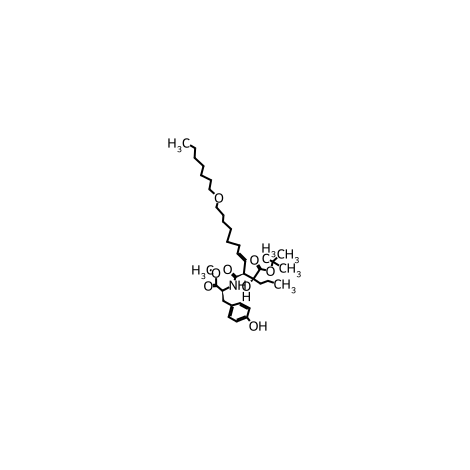 CCCCCCCOCCCCCC/C=C/[C@H](C(=O)N[C@@H](Cc1ccc(O)cc1)C(=O)OC)[C@@](O)(CCC)C(=O)OC(C)(C)C